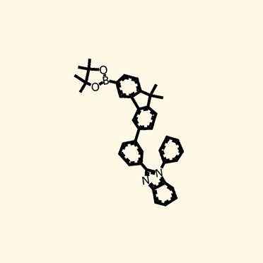 CC1(C)c2ccc(B3OC(C)(C)C(C)(C)O3)cc2-c2cc(-c3cccc(-c4nc5ccccc5n4-c4ccccc4)c3)ccc21